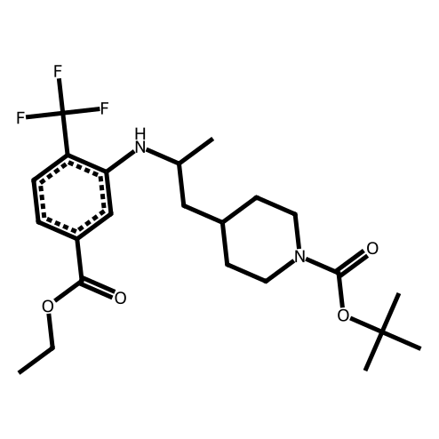 CCOC(=O)c1ccc(C(F)(F)F)c(NC(C)CC2CCN(C(=O)OC(C)(C)C)CC2)c1